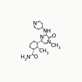 Cc1c(C(N)=O)cccc1-c1cn(C)c(=O)c(Nc2ccncc2)n1